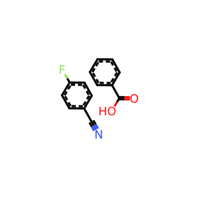 N#Cc1ccc(F)cc1.O=C(O)c1ccccc1